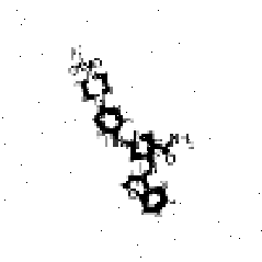 CC(C)S(=O)(=O)N1CCN(c2ccc(Nc3cc(NC4CCOc5ccccc54)c(C(N)=O)cn3)cc2)CC1